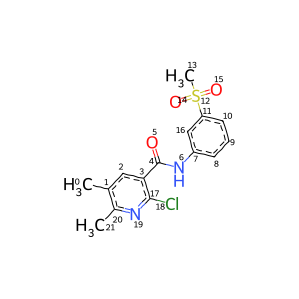 Cc1cc(C(=O)Nc2cccc(S(C)(=O)=O)c2)c(Cl)nc1C